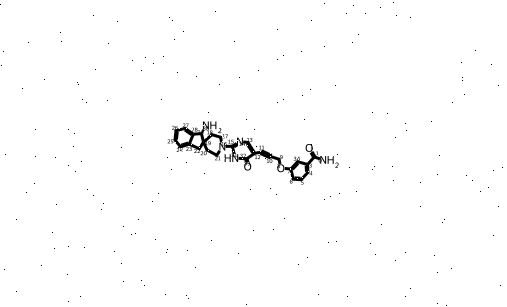 NC(=O)c1cccc(OCC#Cc2cnc(N3CCC4(CC3)Cc3ccccc3[C@H]4N)[nH]c2=O)c1